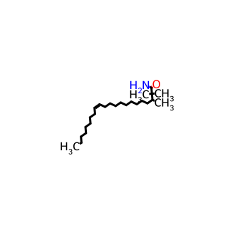 CCCCCCCC/C=C\CCCCCCCCCC(C)C(C)(C)C(N)=O